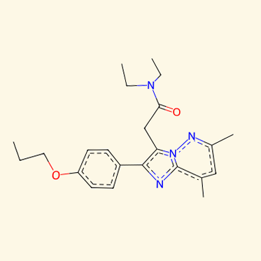 CCCOc1ccc(-c2nc3c(C)cc(C)nn3c2CC(=O)N(CC)CC)cc1